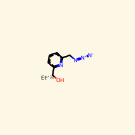 CC[C@@H](O)c1cccc(CN=[N+]=[N-])n1